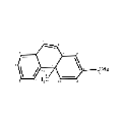 COC1=CC2C=Cc3ccccc3C2(C)C=C1